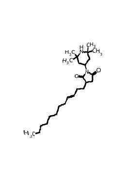 CCCCCCCCC=CCCC1CC(=O)N(C2CC(C)(C)NC(C)(C)C2)C1=O